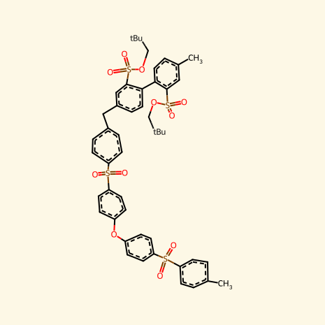 Cc1ccc(S(=O)(=O)c2ccc(Oc3ccc(S(=O)(=O)c4ccc(Cc5ccc(-c6ccc(C)cc6S(=O)(=O)OCC(C)(C)C)c(S(=O)(=O)OCC(C)(C)C)c5)cc4)cc3)cc2)cc1